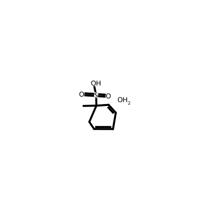 CC1(S(=O)(=O)O)C=CC=CC1.O